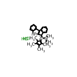 CCCc1ccccc1C1=C[CH]([Zr]([C]2=C(C)C(C)=C(C)C2C)=[Si](C)C)c2ccccc21.Cl.Cl